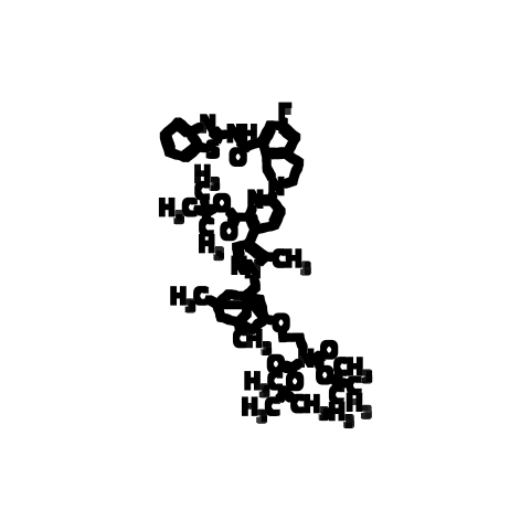 Cc1c(-c2ccc(N3CCc4cc(F)cc(C(=O)Nc5nc6ccccc6s5)c4C3)nc2C(=O)OC(C)(C)C)cnn1CC12CC3(C)CC(C)(C1)CC(OCCN(C(=O)OC(C)(C)C)C(=O)OC(C)(C)C)(C3)C2